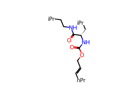 CCCC=CCOC(=O)N[C@@H](CC(C)C)C(=O)NCCC(C)C